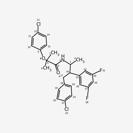 CC(NC(=O)C(C)(C)Oc1ccc(Cl)cc1)C(Cc1ccc(Cl)cc1)c1cc(F)cc(F)c1